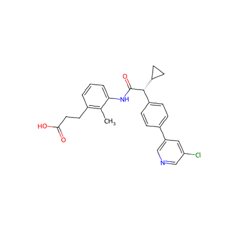 Cc1c(CCC(=O)O)cccc1NC(=O)[C@@H](c1ccc(-c2cncc(Cl)c2)cc1)C1CC1